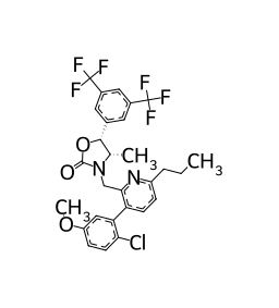 CCCc1ccc(-c2cc(OC)ccc2Cl)c(CN2C(=O)O[C@H](c3cc(C(F)(F)F)cc(C(F)(F)F)c3)[C@@H]2C)n1